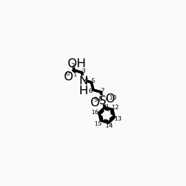 O=C(O)CNCCCS(=O)(=O)c1ccccc1